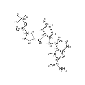 Cc1c(C(N)=O)sc2ncnc(Nc3ccc(F)cc3O[C@@H]3CCN(C(=O)OC(C)(C)C)C3)c12